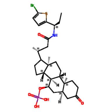 CC[C@@H](NC(=O)C[C@@H](C)C1CC[C@H]2[C@@H]3[C@H](OP(=O)(O)O)C[C@@H]4CC(=O)CC[C@]4(C)[C@H]3CC[C@]12C)c1ccc(Br)s1